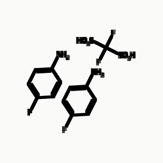 Nc1ccc(F)cc1.Nc1ccc(F)cc1.O=S(=O)(O)C(F)(F)S(=O)(=O)O